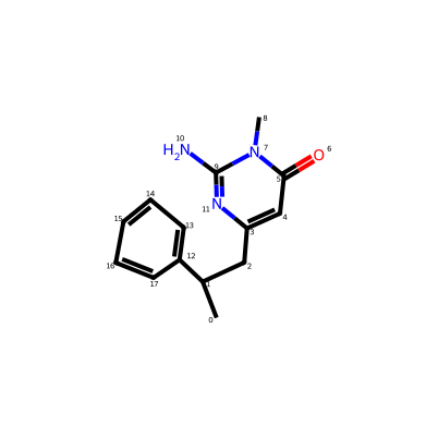 CC(Cc1cc(=O)n(C)c(N)n1)c1ccccc1